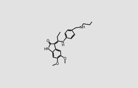 CCCNCc1ccc(NC(CC)=C2C(=O)Nc3cc(OC)c(OC)cc32)cc1